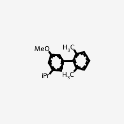 COc1cc(-c2c(C)cccc2C)cc(C(C)C)c1